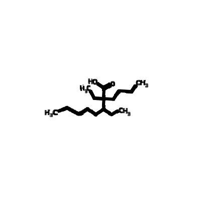 CCCCCC(CC)C(CC)(CCCC)C(=O)O